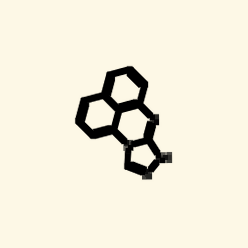 C1=NNC2=Nc3cccc4cccc(c34)N12